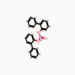 O=[PH](Oc1ccccc1-c1ccccc1)Oc1ccccc1-c1ccccc1